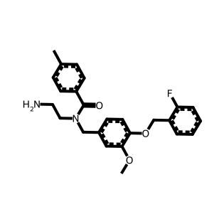 COc1cc(CN(CCN)C(=O)c2ccc(C)cc2)ccc1OCc1ccccc1F